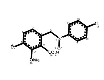 CCc1ccc(C[S+]([O-])c2ccc(Cl)cc2)c(C(=O)O)c1OC